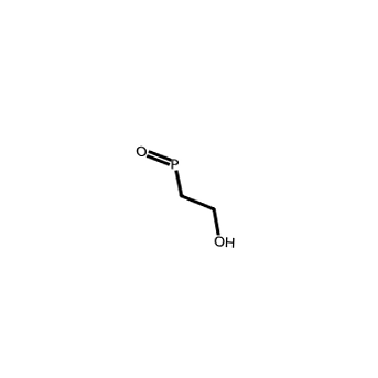 O=PCCO